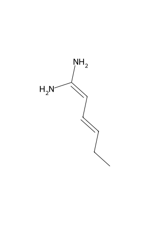 CCC=CC=C(N)N